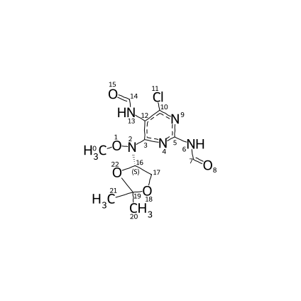 CON(c1nc(NC=O)nc(Cl)c1NC=O)[C@@H]1COC(C)(C)O1